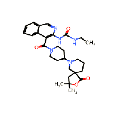 CCNC(=O)Nc1ncc2ccccc2c1C(=O)N1CCC(N2CCCC3(C2)CC(C)(C)OC3=O)CC1